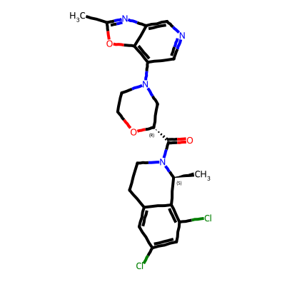 Cc1nc2cncc(N3CCO[C@@H](C(=O)N4CCc5cc(Cl)cc(Cl)c5[C@@H]4C)C3)c2o1